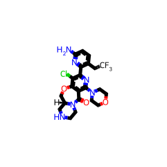 Nc1ccc(CC(F)(F)F)c(-c2nc(N3CCOCC3)c3c(c2Cl)OC[C@H]2CNCCN2C3=O)n1